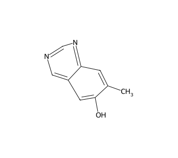 Cc1cc2ncncc2cc1O